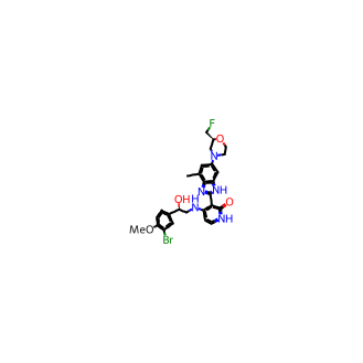 COc1ccc([C@@H](O)CNc2cc[nH]c(=O)c2-c2nc3c(C)cc(N4CCO[C@H](CF)C4)cc3[nH]2)cc1Br